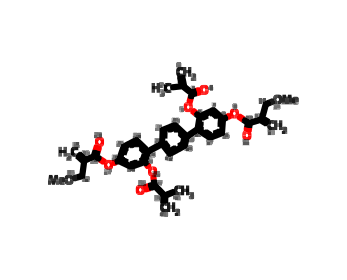 C=C(C)C(=O)Oc1cc(OC(=O)C(=C)COC)ccc1-c1ccc(-c2ccc(OC(=O)C(=C)COC)cc2OC(=O)C(=C)C)cc1